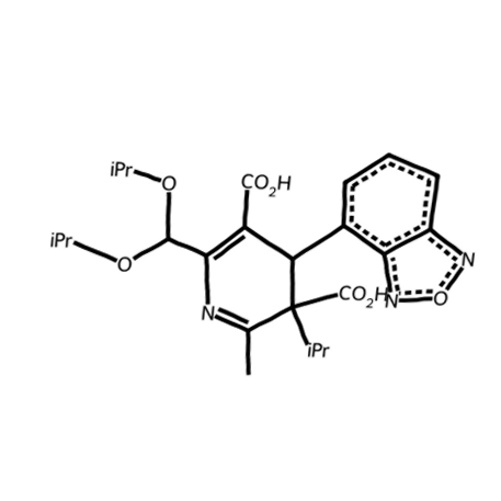 CC1=NC(C(OC(C)C)OC(C)C)=C(C(=O)O)C(c2cccc3nonc23)C1(C(=O)O)C(C)C